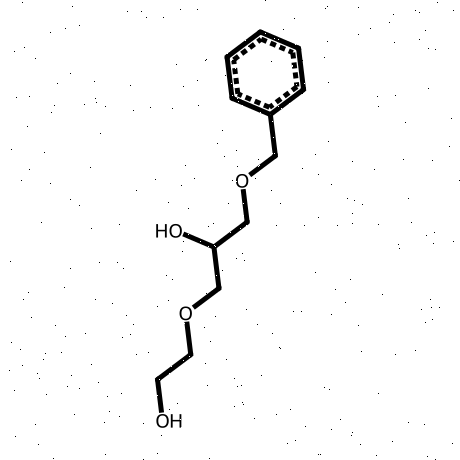 OCCOCC(O)COCc1ccccc1